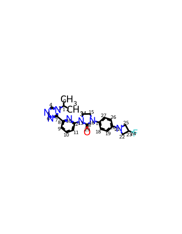 CC(C)n1cnnc1-c1cccc(N2CCN(c3ccc(N4CC(F)C4)cc3)C2=O)n1